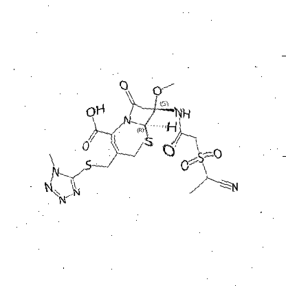 CO[C@@]1(NC(=O)CS(=O)(=O)C(C)C#N)C(=O)N2C(C(=O)O)=C(CSc3nnnn3C)CS[C@@H]21